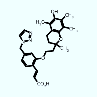 Cc1c(C)c2c(c(C)c1O)CCC(C)(CCOc1cc(Cn3ccnn3)ccc1C=CC(=O)O)O2